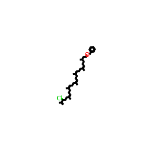 C=C(C)C(Cl)CCC(C)=CCCC(C)=CCCC(C)=CCCC(C)=CCCC(C)=CCCC(C)CCOCc1ccccc1